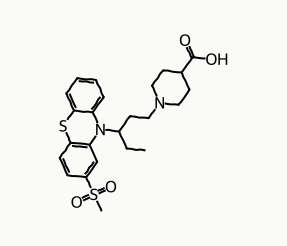 CCC(CCN1CCC(C(=O)O)CC1)N1c2ccccc2Sc2ccc(S(C)(=O)=O)cc21